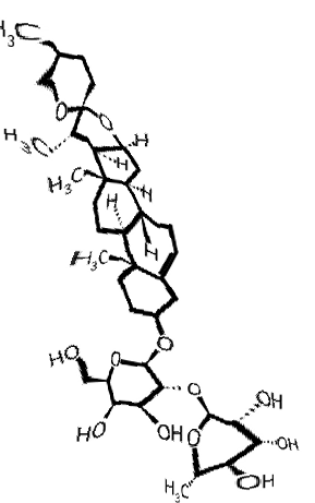 CC1CC[C@@]2(OC1)O[C@H]1C[C@H]3[C@@H]4CC=C5CC(O[C@@H]6O[C@H](CO)[C@H](O)[C@H](O)[C@H]6O[C@@H]6O[C@@H](C)[C@H](O)[C@@H](O)[C@H]6O)CC[C@]5(C)[C@H]4CC[C@]3(C)[C@H]1[C@@H]2C